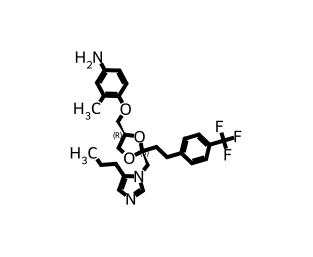 CCCc1cncn1C[C@@]1(CCc2ccc(C(F)(F)F)cc2)OC[C@@H](COc2ccc(N)cc2C)O1